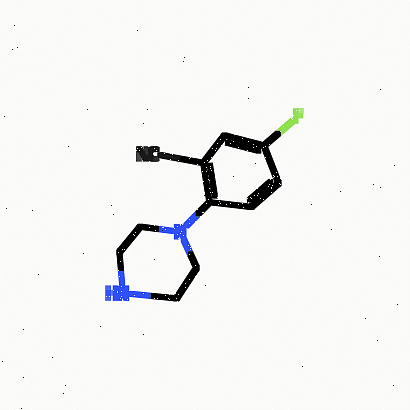 N#Cc1cc(F)ccc1N1CCNCC1